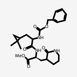 COC(=O)[C@H](CC1CCCNC1=O)NC(=O)C(CC1CC1(C)C)NC(=O)OCc1ccccc1